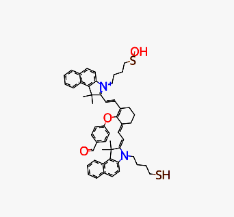 CC1(C)C(/C=C/C2=C(Oc3ccc(C=O)cc3)C(=C/C=C3/N(CCCCS)c4ccc5ccccc5c4C3(C)C)/CCC2)=[N+](CCCCSO)c2ccc3ccccc3c21